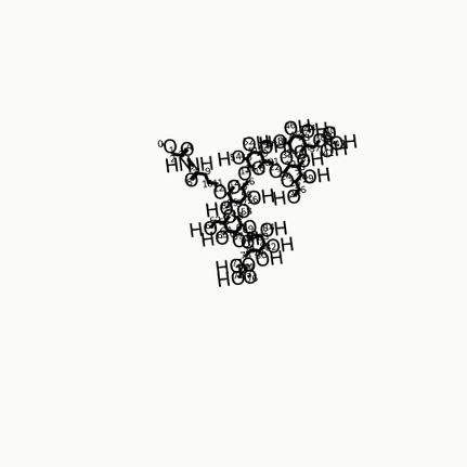 COCC(=O)NNC(=O)CCCO[C@H]1OC(CO[C@H]2OC(CO[C@H]3OC(CO)[C@@H](O)C(O)[C@H]3O[C@H]3OC(COP(=O)(O)O)[C@@H](O)C(O)[C@H]3O)[C@@H](O)C(O)[C@H]2O)[C@@H](O)C(O[C@H]2OC(CO)[C@@H](O)C(O)[C@H]2O[C@H]2OC(COP(=O)(O)O)[C@@H](O)C(O)[C@H]2O)[C@H]1O